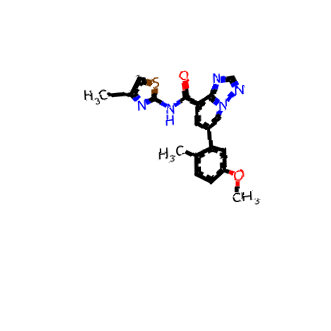 COc1ccc(C)c(-c2cc(C(=O)Nc3nc(C)cs3)c3ncnn3c2)c1